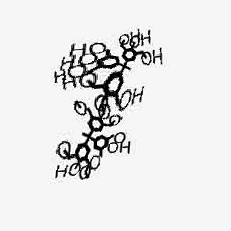 COCc1cc(C(C)(c2cc(COC)c(O)c(COC)c2)c2cc(COC)c(OOc3c(CO)cc(C(C)(c4cc(CO)c(O)c(CO)c4)c4cc(CO)c(O)c(CO)c4)cc3CO)c(COC)c2)cc(COC)c1O